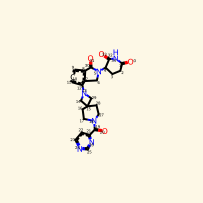 O=C1CCC(N2Cc3c(cccc3N3CC4(CCN(C(=O)c5ccncn5)CC4)C3)C2=O)C(=O)N1